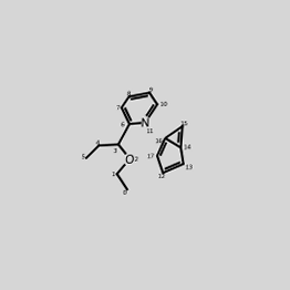 CCOC(CC)c1ccccn1.c1cc2cc-2c1